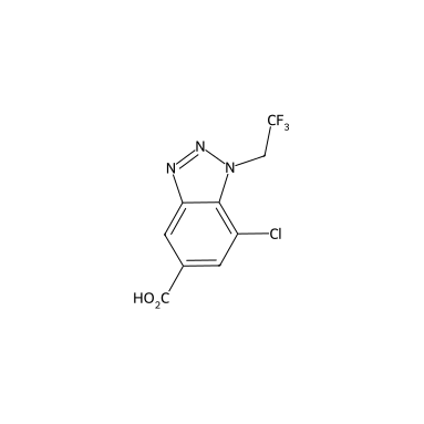 O=C(O)c1cc(Cl)c2c(c1)nnn2CC(F)(F)F